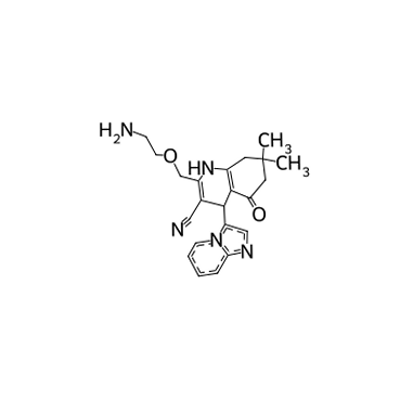 CC1(C)CC(=O)C2=C(C1)NC(COCCN)=C(C#N)C2c1cnc2ccccn12